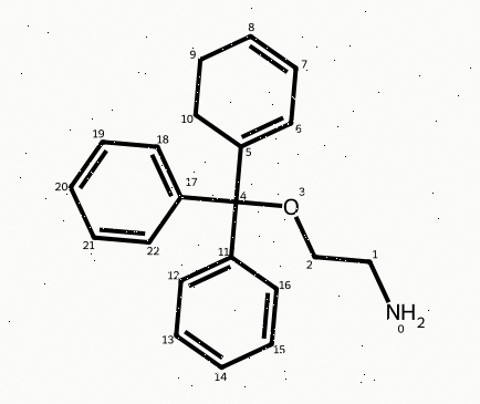 NCCOC(C1=CC=CCC1)(c1ccccc1)c1ccccc1